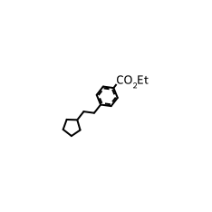 CCOC(=O)c1ccc(CCC2CCCC2)cc1